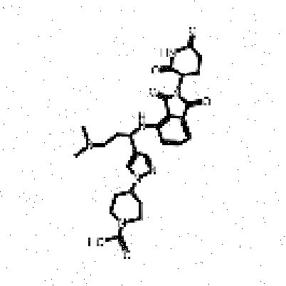 CN(C)CCC(Nc1cccc2c1C(=O)N(C1CCC(=O)NC1=O)C2=O)c1cnn(C2CCN(C(=O)O)CC2)c1